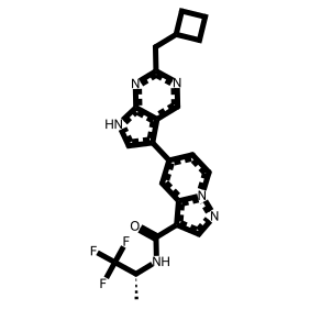 C[C@@H](NC(=O)c1cnn2ccc(-c3c[nH]c4nc(CC5CCC5)ncc34)cc12)C(F)(F)F